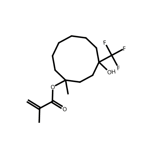 C=C(C)C(=O)OC1(C)CCCCCCC(O)(C(F)(F)F)CC1